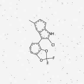 Cc1ccc2[nH]c(Cl)c(-c3cccc4c3OC(F)(F)O4)c2c1